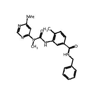 CNc1cc(N(C)C(=O)Nc2cc(C(=O)NCc3ccccc3)ccc2C)ncn1